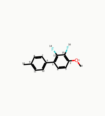 COc1ccc(-c2ccc(C)cc2)c(F)c1F